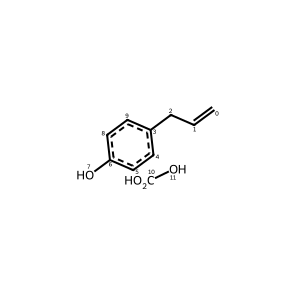 C=CCc1ccc(O)cc1.O=C(O)O